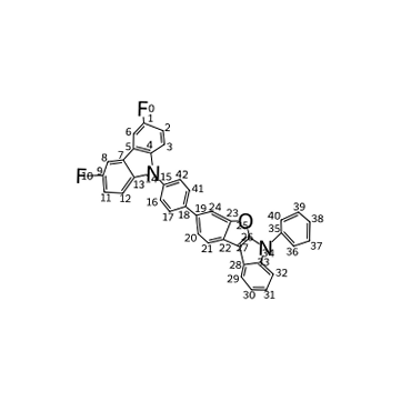 Fc1ccc2c(c1)c1cc(F)ccc1n2-c1ccc(-c2ccc3c(c2)oc2c3c3ccccc3n2-c2ccccc2)cc1